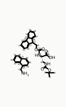 CC(C)(C)OC(=O)NC[C@H](NC(=O)OCC1c2ccccc2-c2ccccc21)C(=O)O.NCc1cccc2ccccc12